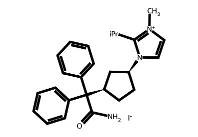 CC(C)c1n([C@H]2CC[C@@H](C(C(N)=O)(c3ccccc3)c3ccccc3)C2)cc[n+]1C.[I-]